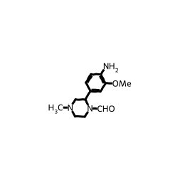 COc1cc(C2CN(C)CCN2C=O)ccc1N